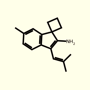 CC(C)=CC1=C(N)C2(CCC2)c2cc(C)ccc21